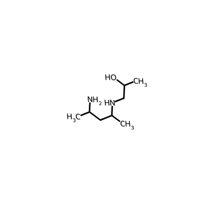 CC(N)CC(C)NCC(C)O